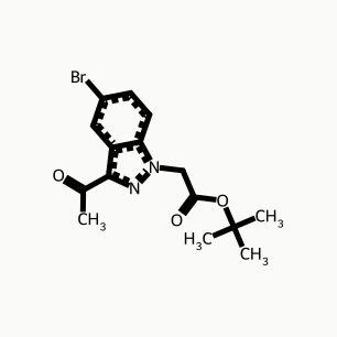 CC(=O)c1nn(CC(=O)OC(C)(C)C)c2ccc(Br)cc12